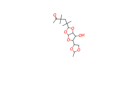 CC(=O)C(C)(C)CC(C)(C)C1OC2OC(C3COC(C)O3)C(O)C2O1